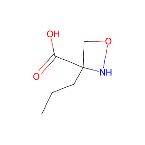 CCCC1(C(=O)O)CON1